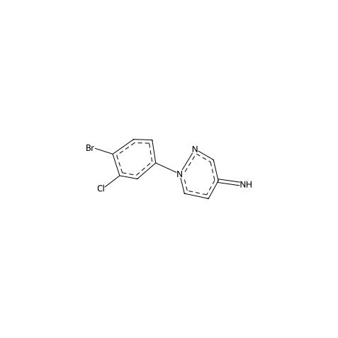 N=c1ccn(-c2ccc(Br)c(Cl)c2)nc1